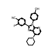 N#Cc1ccc(-c2nc3c(N4CCCCC4)ccnc3n2-c2ccc(O)cc2)cc1F